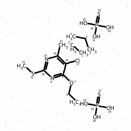 CC.CCC.CCOc1nc(SC)nc(C)c1Cl.OP(O)(O)=S.OP(O)(O)=S